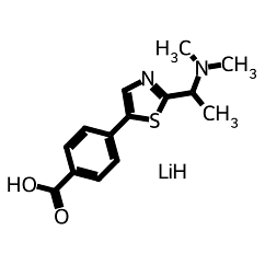 CC(c1ncc(-c2ccc(C(=O)O)cc2)s1)N(C)C.[LiH]